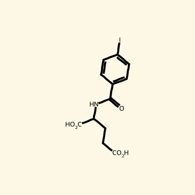 O=C(O)CCC(NC(=O)c1ccc(I)cc1)C(=O)O